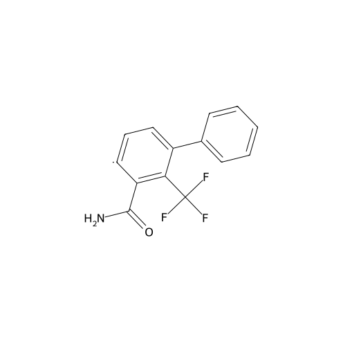 NC(=O)c1[c]ccc(-c2ccccc2)c1C(F)(F)F